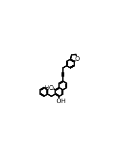 Oc1cc2ccc(C#CCc3ccc4c(c3)CCO4)cc2c(O)c1Cc1ccccc1